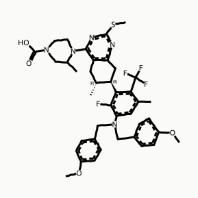 COc1ccc(CN(Cc2ccc(OC)cc2)c2cc(C)c(C(F)(F)F)c([C@@H]3Cc4nc(SC)nc(N5CCN(C(=O)O)CC5C)c4C[C@H]3C)c2F)cc1